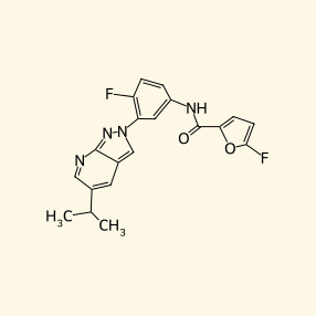 CC(C)c1cnc2nn(-c3cc(NC(=O)c4ccc(F)o4)ccc3F)cc2c1